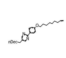 C=CCCCCCCCOc1ccc(-c2ncc(CCCCCCCCCCC)cn2)cc1